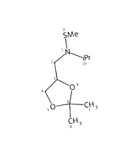 CSN(CC1COC(C)(C)O1)C(C)C